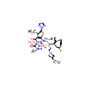 COc1ccc(F)cc1[C@H](Cn1c(=O)n(C(C)(C)C(=O)NC(C)C)c(=O)c2c(C)c(-n3nccn3)sc21)OCCN1CC(C#N)C1